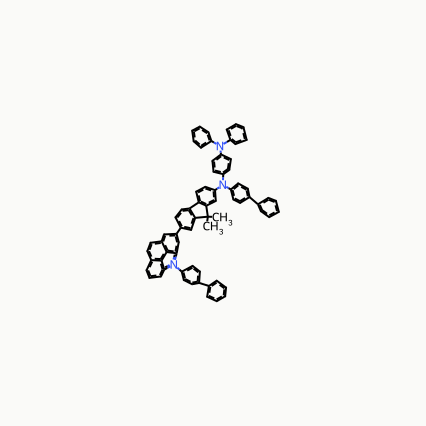 CC1(C)c2cc(-c3cc4ccc5cccc6c5c4c(c3)n6-c3ccc(-c4ccccc4)cc3)ccc2-c2ccc(N(c3ccc(-c4ccccc4)cc3)c3ccc(N(c4ccccc4)c4ccccc4)cc3)cc21